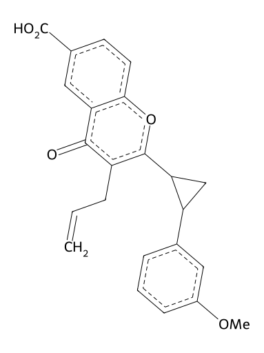 C=CCc1c(C2CC2c2cccc(OC)c2)oc2ccc(C(=O)O)cc2c1=O